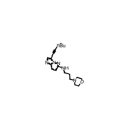 CCCCC#Cc1cnc2ccc(NCCCN3CCOCC3)nn12